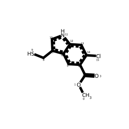 COC(=O)c1cc2c(CS)c[nH]c2cc1Cl